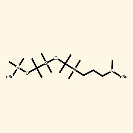 CCCCN(C)CCC[Si](C)(C)C(C)(C)O[Si](C)(C)C(C)(C)O[Si](C)(C)CCCC